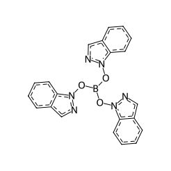 c1ccc2c(c1)cnn2OB(On1ncc2ccccc21)On1ncc2ccccc21